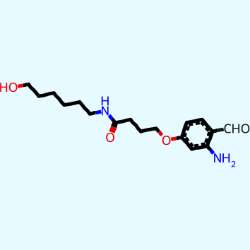 Nc1cc(OCCCC(=O)NCCCCCCO)ccc1C=O